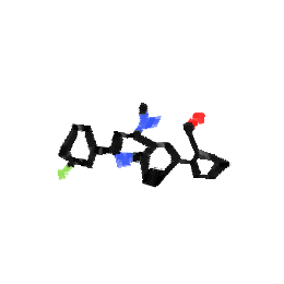 CNc1cc(-c2cccc(F)c2)nc2ccc(-c3ccccc3C=O)cc12